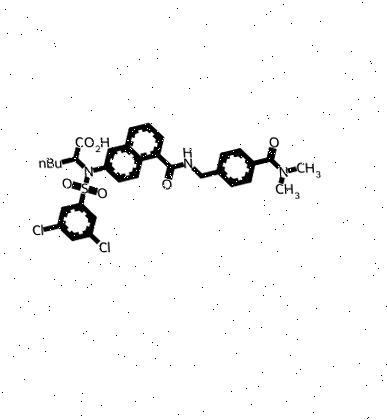 CCCCC(C(=O)O)N(c1ccc2c(C(=O)NCc3ccc(C(=O)N(C)C)cc3)cccc2c1)S(=O)(=O)c1cc(Cl)cc(Cl)c1